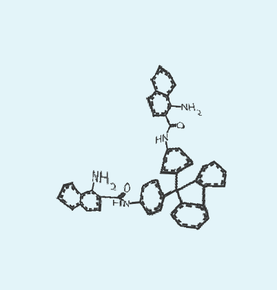 Nc1c(C(=O)Nc2ccc(C3(c4ccc(NC(=O)c5ccc6ccccc6c5N)cc4)c4ccccc4-c4ccccc43)cc2)ccc2ccccc12